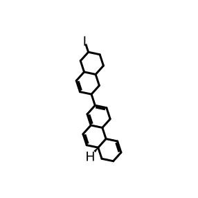 IC1CCC2CC(C3=CCC4C(=C3)C=C[C@H]3CCC=CC43)C=CC2C1